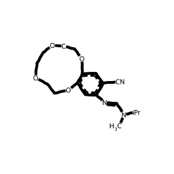 CC(C)N(C)/C=N/c1cc2c(cc1C#N)OCCOCCOCCO2